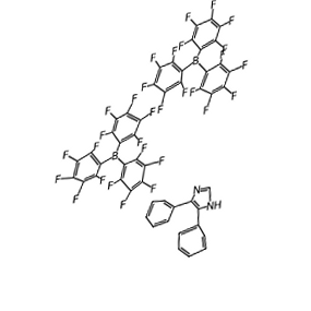 Fc1c(F)c(F)c(B(c2c(F)c(F)c(F)c(F)c2F)c2c(F)c(F)c(F)c(F)c2F)c(F)c1F.Fc1c(F)c(F)c(B(c2c(F)c(F)c(F)c(F)c2F)c2c(F)c(F)c(F)c(F)c2F)c(F)c1F.c1ccc(-c2nc[nH]c2-c2ccccc2)cc1